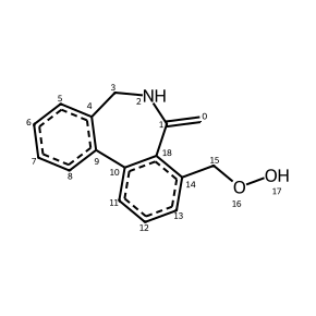 C=C1NCc2ccccc2-c2cccc(COO)c21